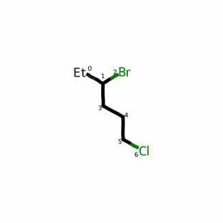 [CH2]CC(Br)CCCCl